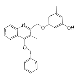 Cc1cc(O)cc(OCc2nc3ccccc3c(OCc3ccccc3)c2C)c1